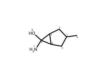 CC1CC2C(C1)C2(N)O